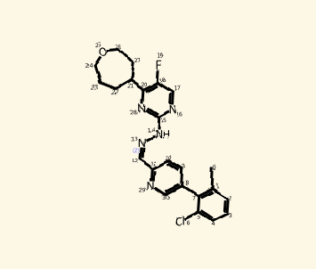 Cc1cccc(Cl)c1-c1ccc(/C=N\Nc2ncc(F)c(C3CCCOCC3)n2)nc1